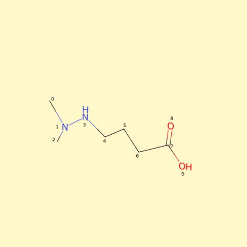 CN(C)NCCCC(=O)O